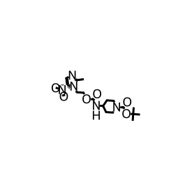 Cc1ncc([N+](=O)[O-])n1CCOC(=O)NC1CCN(C(=O)OC(C)(C)C)CC1